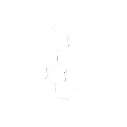 O=C/C=C\Cc1ccc2c(c1)OCO2